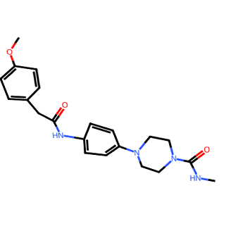 CNC(=O)N1CCN(c2ccc(NC(=O)Cc3ccc(OC)cc3)cc2)CC1